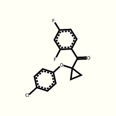 O=C(c1ccc(F)cc1F)C1(Oc2ccc(Cl)cc2)CC1